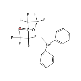 C[Se+](c1ccccc1)c1ccccc1.O=P([O-])(C(F)(F)C(F)(F)F)C(F)(F)C(F)(F)F